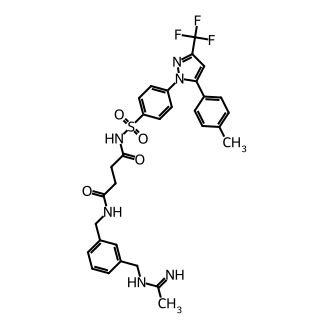 CC(=N)NCc1cccc(CNC(=O)CCC(=O)NS(=O)(=O)c2ccc(-n3nc(C(F)(F)F)cc3-c3ccc(C)cc3)cc2)c1